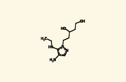 CCNc1c(N)cnn1CCC(O)CCO